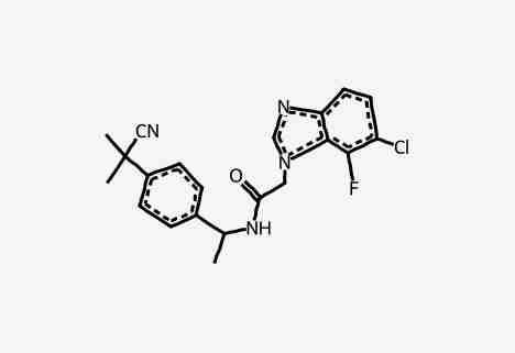 CC(NC(=O)Cn1cnc2ccc(Cl)c(F)c21)c1ccc(C(C)(C)C#N)cc1